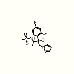 C[C@@H](NS(C)(=O)=O)[C@](O)(Cn1cncn1)c1ccc(F)cc1F